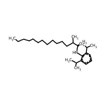 CCCCCCCCCCCCC(C)C(=O)Nc1c(C(C)C)cccc1C(C)C